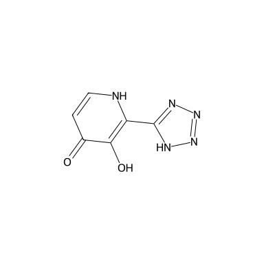 O=c1cc[nH]c(-c2nnn[nH]2)c1O